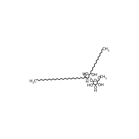 CCCCCCCCCCCCCCCCCCCCCCCCCC(=O)N[C@@H](CO[C@H]1OC(COC)[C@H](O)C(O)C1O)[C@H](O)[C@H](O)CCCCCCCCCCCCCC